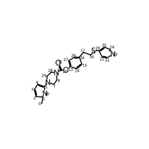 Cc1cccc(N2CCN(C(=O)Oc3ccc(CCSc4ccncc4)cc3)CC2)n1